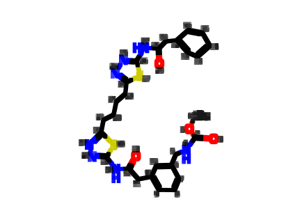 CC(C)(C)OC(=O)NCc1cccc(CC(=O)Nc2nnc(CCCCc3nnc(NC(=O)Cc4ccccc4)s3)s2)c1